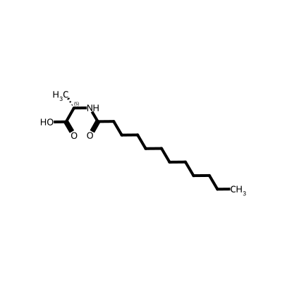 CCCCCCCCCCCC(=O)N[C@@H](C)C(=O)O